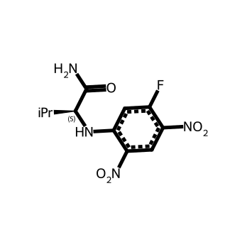 CC(C)[C@H](Nc1cc(F)c([N+](=O)[O-])cc1[N+](=O)[O-])C(N)=O